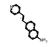 Nc1ccc2cc(/C=C/c3ccncc3)ccc2c1